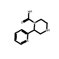 [NH]C(=O)N1CCNCC1c1ccccn1